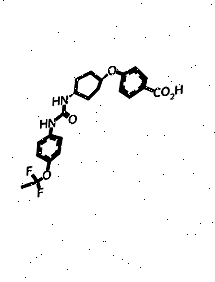 CC(F)(F)Oc1ccc(NC(=O)N[C@H]2CC[C@H](Oc3ccc(C(=O)O)cc3)CC2)cc1